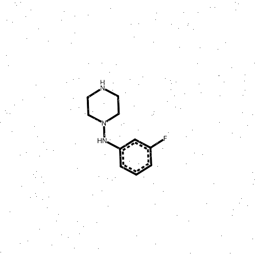 Fc1cccc(NN2CCNCC2)c1